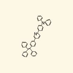 c1ccc(C(=C(c2ccccc2)c2ccc(-c3ccc(-c4ccc(N(c5ccccc5)c5ccccc5)cc4)nc3)cc2)c2ccccc2)cc1